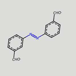 O=[C]c1cccc(N=Nc2cccc([C]=O)c2)c1